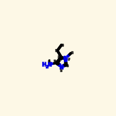 CCc1c(N)ncn1C